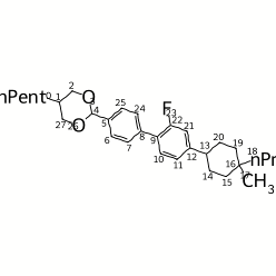 CCCCCC1COC(c2ccc(-c3ccc(C4CCC(C)(CCC)CC4)cc3F)cc2)OC1